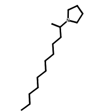 CCCCCCCCCCC(C)N1CCCC1